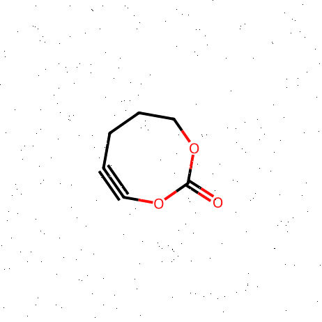 O=C1OC#CCCCO1